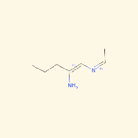 C/C=N\C=C(/N)CCC